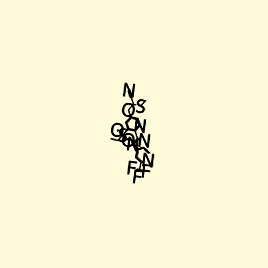 CCS(=O)(=O)c1cc(OC(C#N)SC)cnc1-c1nc2cc(C(F)(F)F)ncc2n1C